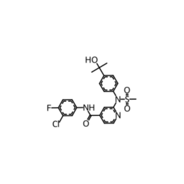 CC(C)(O)c1ccc(N(c2cc(C(=O)Nc3ccc(F)c(Cl)c3)ccn2)S(C)(=O)=O)cc1